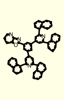 c1ccc2c(-c3cc(-c4cc(-c5cc(-c6cccc7ccccc67)nc(-c6cccc7ccccc67)c5)cc(-c5nc6ncccc6o5)c4)cc(-c4cccc5ccccc45)n3)cccc2c1